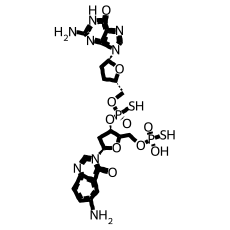 Nc1ccc2ncn([C@H]3C[C@H](OP(=O)(S)OC[C@@H]4CC[C@H](n5cnc6c(=O)[nH]c(N)nc65)O4)C(COP(=O)(O)S)O3)c(=O)c2c1